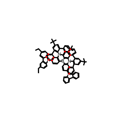 CCc1ccc2c(c1)c1cc(CC)ccc1n2-c1ccc2c(c1)N(c1c(-c3ccccc3)cc(C(C)(C)C)cc1-c1ccccc1)c1cc(C(C)(C)C)cc3c1B2c1ccc(-n2c4ccccc4c4ccccc42)cc1N3c1c(-c2ccccc2)cc(C(C)(C)C)cc1-c1ccccc1